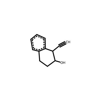 C#CC1c2ccccc2CCC1O